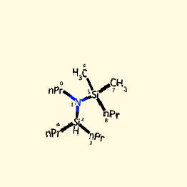 CCCN([SiH](CCC)CCC)[Si](C)(C)CCC